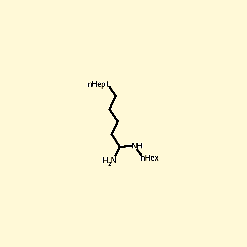 CCCCCCCCCCCC(N)NCCCCCC